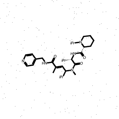 C/C(=C\C(C(C)C)N(C)C(=O)[C@@H](NC(=O)[C@H]1CCCCN1C(C)C)C(C)C)C(=O)NCc1ccncc1